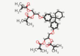 C=C(C)C(=O)OCC(COc1ccc(C2(c3ccc(OCC(COC(=O)C(=C)C)OC(=O)C(=C)C)cc3)CCCCC2)cc1)OC(=O)C(=C)C